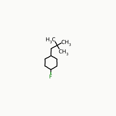 CC(C)(C)CC1CCC(F)CC1